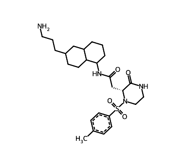 Cc1ccc(S(=O)(=O)N2CCNC(=O)[C@H]2CC(=O)NC2CCCC3CC(CCCN)CCC32)cc1